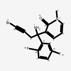 Cn1cccc(C(N)(CC#CBr)c2cc(F)ccc2F)c1=O